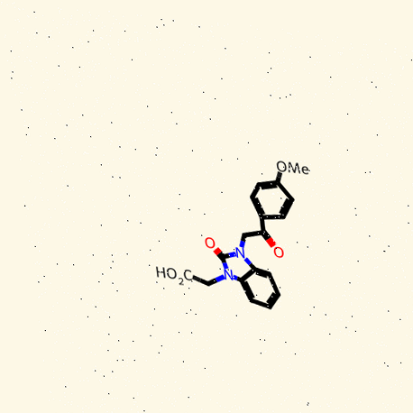 COc1ccc(C(=O)Cn2c(=O)n(CC(=O)O)c3ccccc32)cc1